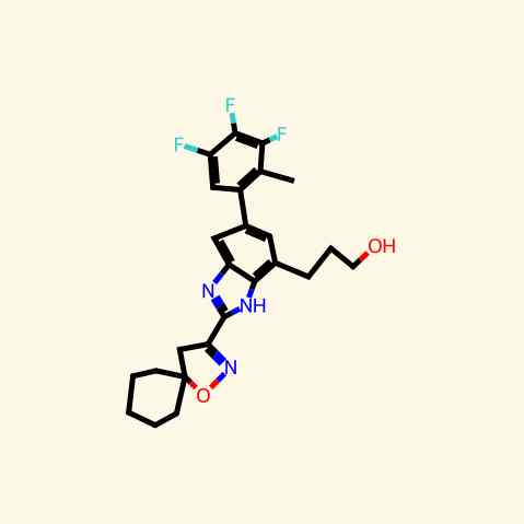 Cc1c(-c2cc(CCCO)c3[nH]c(C4=NOC5(CCCCC5)C4)nc3c2)cc(F)c(F)c1F